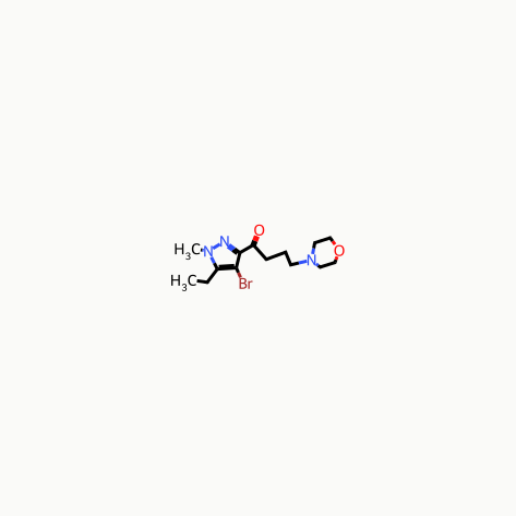 CCc1c(Br)c(C(=O)CCCN2CCOCC2)nn1C